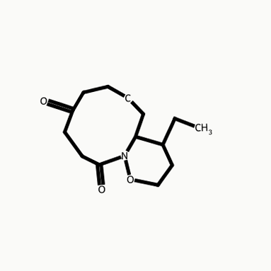 CCC1CCON2C(=O)CCC(=O)CCCCC12